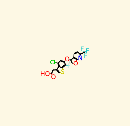 O=C(O)Cc1csc2c(F)c(O[C@H]3COc4nc(C(F)(F)F)ccc43)cc(Cl)c12